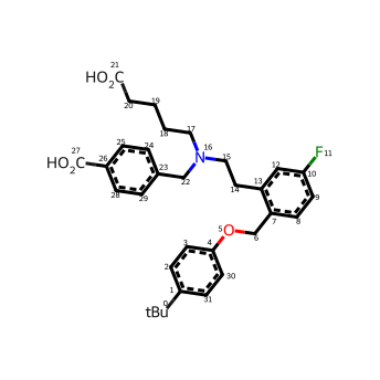 CC(C)(C)c1ccc(OCc2ccc(F)cc2CCN(CCCCC(=O)O)Cc2ccc(C(=O)O)cc2)cc1